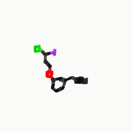 CC(C)(C)Cc1cccc(OCCC(Cl)I)c1